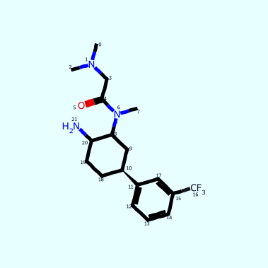 CN(C)CC(=O)N(C)C1C[C@@H](c2cccc(C(F)(F)F)c2)CCC1N